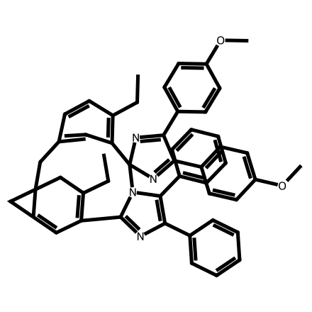 CCC1=C2C=C3CC3(C1)Cc1ccc(CC)c(c1)C1(N=C(c3ccc(OC)cc3)C(c3ccc(OC)cc3)=N1)n1c2nc(-c2ccccc2)c1-c1ccccc1